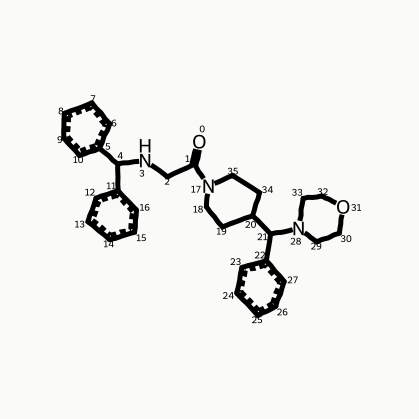 O=C(CNC(c1ccccc1)c1ccccc1)N1CCC(C(c2ccccc2)N2CCOCC2)CC1